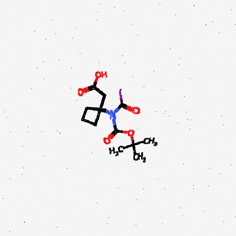 CC(C)(C)OC(=O)N(C(=O)I)C1(CC(=O)O)CCC1